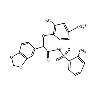 CCCc1cc(C(=O)O)ccc1OC(C(=O)NS(=O)(=O)c1ccccc1C)c1ccc2c(c1)OCO2